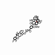 COc1cc(C(=O)NCCOCCOCCOc2c(-c3csc(N4CCOCC4)n3)ccc(F)c2F)ccc1NC(=O)C1NC(CC(C)(C)C)C(C#N)(c2ccc(Cl)cc2F)C1c1cccc(Cl)c1F